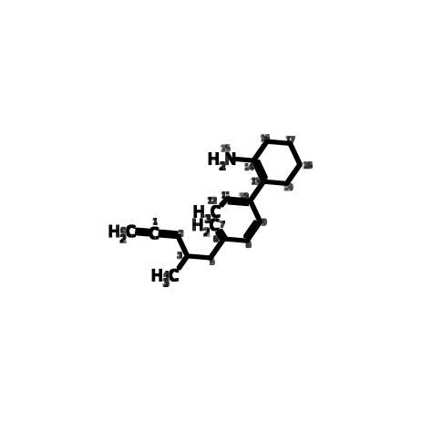 C=C=CC(C)CC(=C)/C=C\C(=C/C)C1=C(N)CCCC1